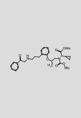 COC(=O)[C@H](C1CC1)N(C[C@@H](C)Oc1ccccc1CCCNCC(=O)c1ccccc1)C(=O)OC(C)(C)C